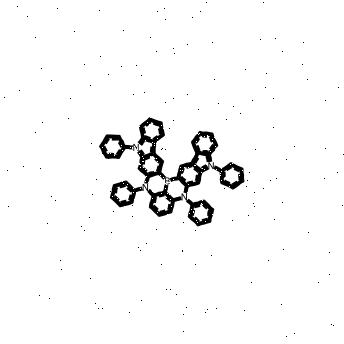 c1ccc(N2c3cc4c(cc3B3c5cc6c7ccccc7n(-c7ccccc7)c6cc5N(c5ccccc5)c5cccc2c53)c2ccccc2n4-c2ccccc2)cc1